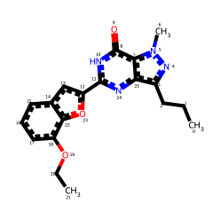 CCCc1nn(C)c2c(=O)[nH]c(-c3cc4cccc(OCC)c4o3)nc12